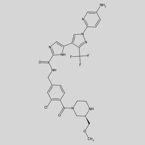 COC[C@H]1CN(C(=O)c2ccc(CNC(=O)c3ncc(-c4cn(-c5ccc(N)cn5)nc4C(F)(F)F)[nH]3)cc2Cl)CCN1